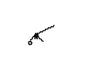 CCCCCCCCCCCCCn1cc(CCCc2ccccc2)nc1CCCCC